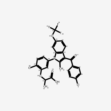 Cc1c(C(=O)c2ccc(Cl)cc2)c2ccc(OC(F)(F)F)cc2n1-c1ccc(Cl)c(OC(C)C(=O)O)c1